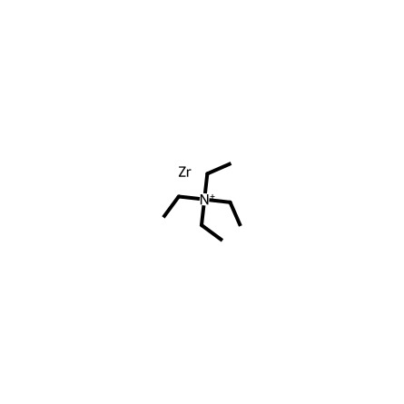 CC[N+](CC)(CC)CC.[Zr]